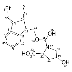 C/C=C1\C(=C/CC)c2ccccc2C1COC(O)N1C[C@H](O)C[C@H]1C(=O)O